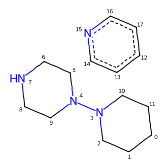 C1CCN(N2CCNCC2)CC1.c1ccncc1